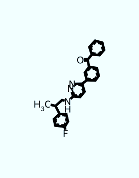 CC(CNc1ccc(-c2cccc(C(=O)c3ccccc3)c2)nn1)c1ccc(F)cc1